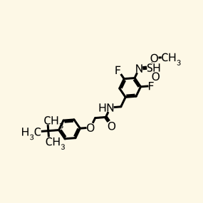 CO[SH](=O)=Nc1c(F)cc(CNC(=O)COc2ccc(C(C)(C)C)cc2)cc1F